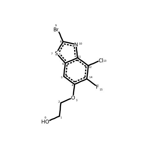 OCCOc1cc2sc(Br)nc2c(Cl)c1F